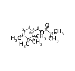 CC1=CC[C@@H](COC(=O)C(C)C)C(C)(C)[C@@H]1C